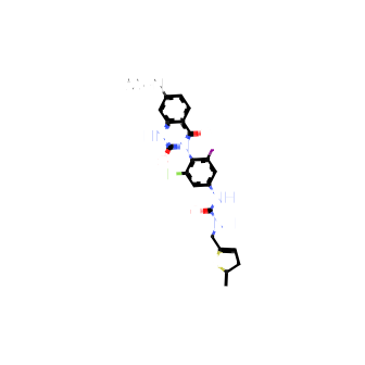 CNc1ccc2c(=O)n(-c3c(F)cc(NC(=O)NCC4=CCC(C)S4)cc3I)c(=O)[nH]c2c1